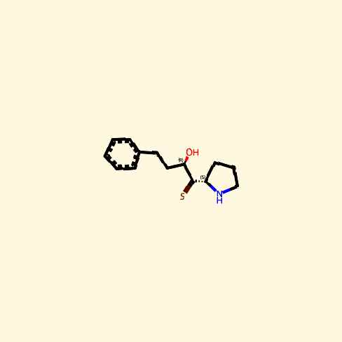 O[C@H](CCc1ccccc1)C(=S)[C@@H]1CCCN1